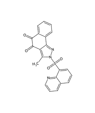 Cc1c2c(nn1S(=O)(=O)c1cccc3cccnc13)-c1ccccc1C(=O)C2=O